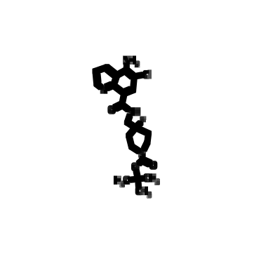 CC(C)(C)OC(=O)N1CCC(F)(CNC(=O)c2cc(Cl)c(N)c3cccnc23)CC1